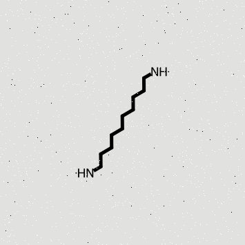 [NH]CCCCCCCCCC[NH]